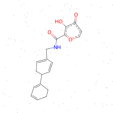 O=C(NCC1=CCC(C2=CC=CCC2)C=C1)c1occc(=O)c1O